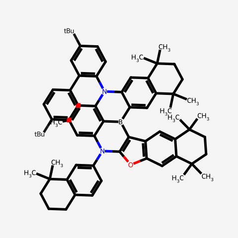 Cc1cc2c3c(c1)N(c1ccc4c(c1)C(C)(C)CCC4)c1oc4cc5c(cc4c1B3c1cc3c(cc1N2c1ccc(C(C)(C)C)cc1-c1ccc(C(C)(C)C)cc1)C(C)(C)CCC3(C)C)C(C)(C)CCC5(C)C